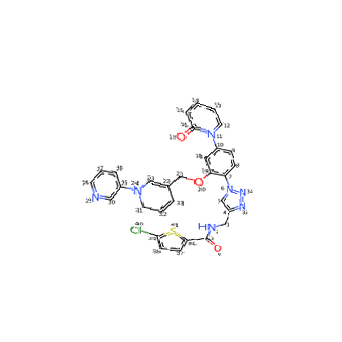 O=C(NCc1cn(-c2ccc(-n3ccccc3=O)cc2OCC2=CN(c3cccnc3)CC=C2)nn1)c1ccc(Cl)s1